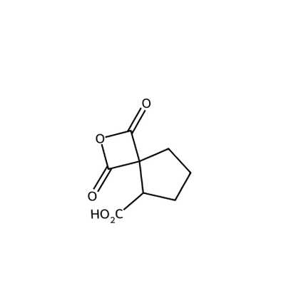 O=C(O)C1CCCC12C(=O)OC2=O